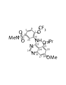 CNS(=O)(=O)c1ccc(OC(F)(F)F)c(Nc2ncnc3cc(OC)cc(OC(C)C)c23)c1